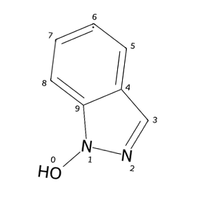 On1ncc2c[c]ccc21